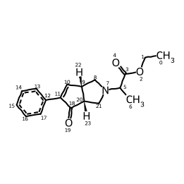 CCOC(=O)C(C)N1C[C@H]2C=C(c3ccccc3)C(=O)[C@H]2C1